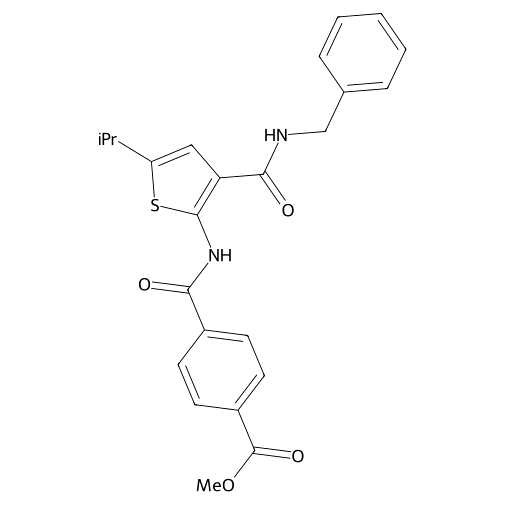 COC(=O)c1ccc(C(=O)Nc2sc(C(C)C)cc2C(=O)NCc2ccccc2)cc1